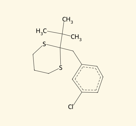 CC(C)(C)C1(Cc2cccc(Cl)c2)SCCCS1